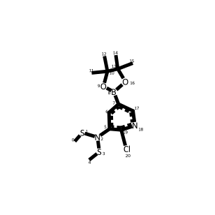 CSN(SC)c1cc(B2OC(C)(C)C(C)(C)O2)cnc1Cl